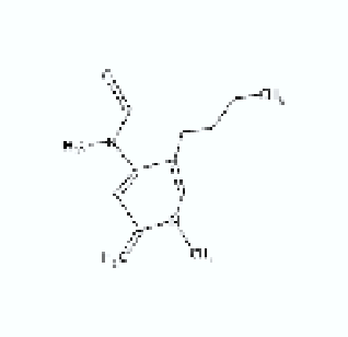 C=C1C=C(N(C)C=O)C(CCCC)=CN1C